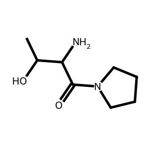 CC(O)C(N)C(=O)N1CCCC1